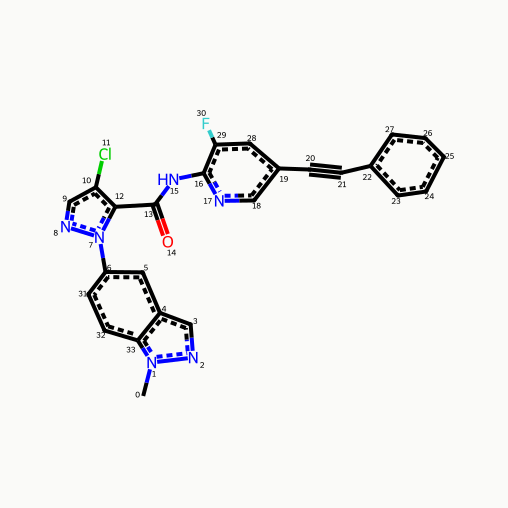 Cn1ncc2cc(-n3ncc(Cl)c3C(=O)Nc3ncc(C#Cc4ccccc4)cc3F)ccc21